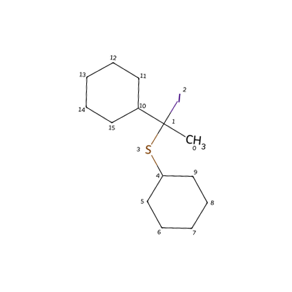 CC(I)(SC1CCCCC1)C1CCCCC1